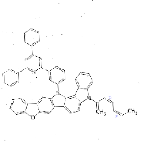 C=C(/C=C\C=C/C)n1c2ccccc2c2c1ccc1c3cc4oc5ccccc5c4cc3n(-c3cccc(-c4nc(-c5ccccc5)cc(-c5ccccc5)n4)c3)c12